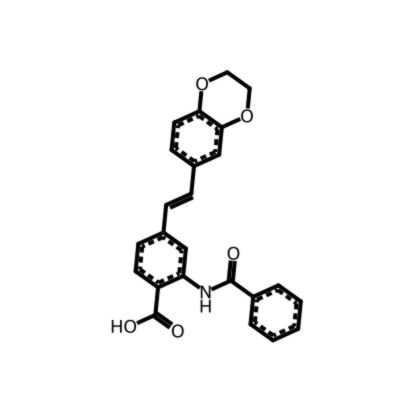 O=C(Nc1cc(C=Cc2ccc3c(c2)OCCO3)ccc1C(=O)O)c1ccccc1